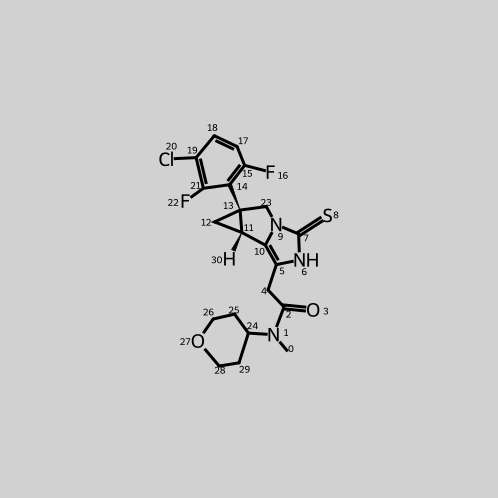 CN(C(=O)Cc1[nH]c(=S)n2c1[C@@H]1C[C@]1(c1c(F)ccc(Cl)c1F)C2)C1CCOCC1